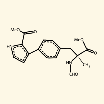 COC(=O)c1[nH]ccc1-c1ccc(C[C@](C)(NC=O)C(=O)OC)cc1